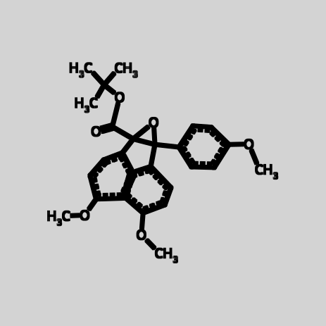 COc1ccc(C2(C(=O)OC(C)(C)C)OC2(c2ccc(OC)cc2)c2ccc(OC)cc2)cc1